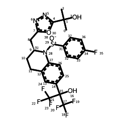 CC(C)(O)c1nnc(C[C@@H]2CCc3cc(C(O)(C(F)(F)F)C(F)(F)F)ccc3N2[S+]([O-])c2ccc(F)cc2)o1